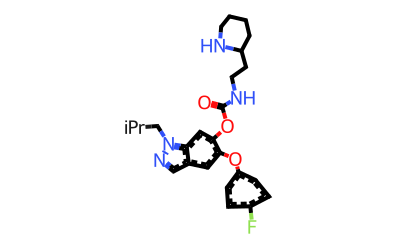 CC(C)Cn1ncc2cc(Oc3ccc(F)cc3)c(OC(=O)NCCC3CCCCN3)cc21